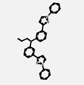 CCCC(c1cccc(-c2ccn(-c3ccccc3)n2)c1)c1cccc(-c2ccn(-c3ccccc3)n2)c1